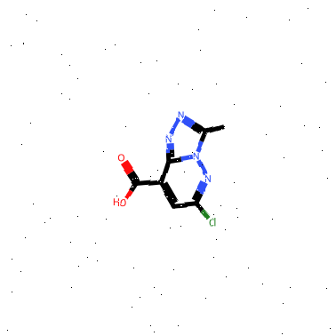 Cc1nnc2c(C(=O)O)cc(Cl)nn12